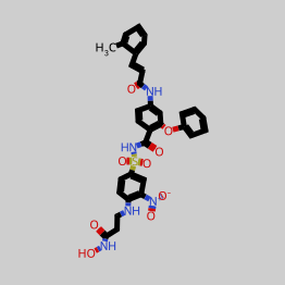 Cc1ccccc1C=CC(=O)Nc1ccc(C(=O)NS(=O)(=O)c2ccc(NCCC(=O)NO)c([N+](=O)[O-])c2)c(Oc2ccccc2)c1